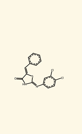 O=C1NC(=Nc2ccc(Cl)c(Cl)c2)SC1=Cc1ccccc1